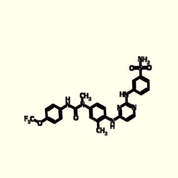 Cc1cc(N(C)C(=O)Nc2ccc(OC(F)(F)F)cc2)ccc1Nc1ccnc(Nc2cccc(S(N)(=O)=O)c2)n1